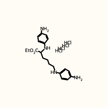 CCOC(=O)C(CCCCNc1ccc(N)cc1)Nc1ccc(N)cc1.Cl.Cl.Cl.Cl